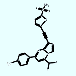 NS(=O)(=O)c1ccc(C#Cc2ncn3c(C(F)F)cc(-c4ccc(C(F)(F)F)cc4)nc23)s1